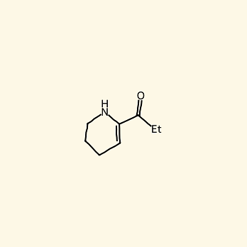 CCC(=O)C1=CCCCN1